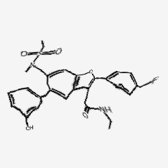 CNC(=O)c1c(-c2ccc(F)cc2)oc2cc(N(C)S(C)(=O)=O)c(-c3cccc(O)c3)cc12